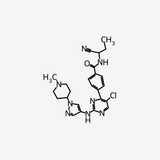 CCC(C#N)NC(=O)c1ccc(-c2nc(Nc3cnn(C4CCN(C)CC4)c3)ncc2Cl)cc1